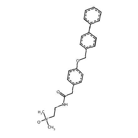 C[N+](C)([O-])CCNC(=O)Cc1ccc(OCc2ccc(-c3ccccc3)cc2)cc1